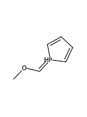 COC=[PH]1C=CC=C1